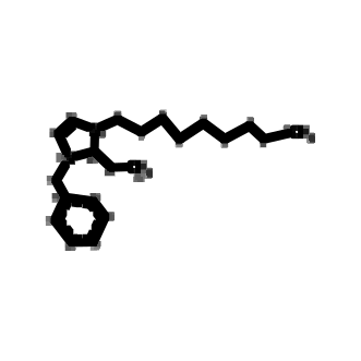 CCCCCCCCCN1C=CN(Cc2ccccc2)C1CC